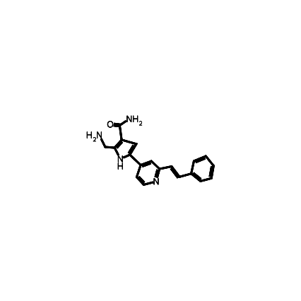 NCc1[nH]c(-c2ccnc(C=Cc3ccccc3)c2)cc1C(N)=O